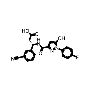 N#Cc1cccc([C@H](CC(=O)O)NC(=O)c2cc(O)n(-c3ccc(F)cc3)n2)c1